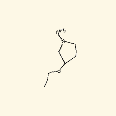 CCOC1CCN(N)C1